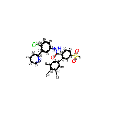 Cc1cc(-c2cc(S(C)(=O)=O)ccc2C(=O)Nc2ccc(Cl)c(-c3ccccn3)c2)cc(C)c1C